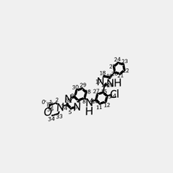 C[C@@H]1CN(c2cnc3c(Nc4ccc(Cl)c(-c5ncc(-c6ccccc6)[nH]5)c4)cccc3n2)CCO1